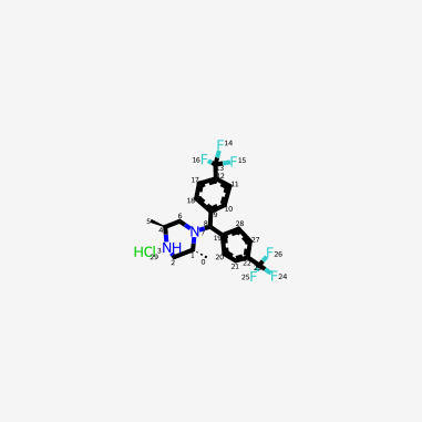 C[C@@H]1CN[C@@H](C)CN1C(c1ccc(C(F)(F)F)cc1)c1ccc(C(F)(F)F)cc1.Cl